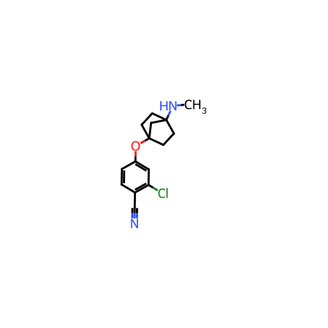 CNC12CCC(Oc3ccc(C#N)c(Cl)c3)(CC1)C2